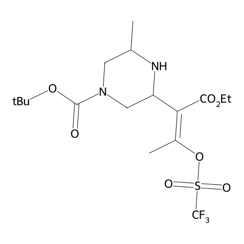 CCOC(=O)/C(=C(/C)OS(=O)(=O)C(F)(F)F)C1CN(C(=O)OC(C)(C)C)CC(C)N1